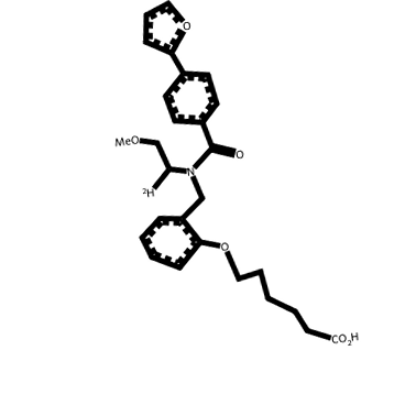 [2H]C(COC)N(Cc1ccccc1OCCCCCC(=O)O)C(=O)c1ccc(-c2ccco2)cc1